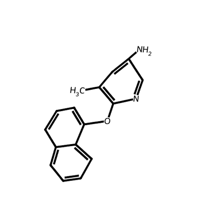 Cc1cc(N)cnc1Oc1cccc2ccccc12